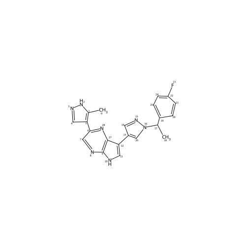 Cc1[nH]ncc1-c1cnc2[nH]cc(-c3cnn(C(C)c4ccc(F)cc4)c3)c2n1